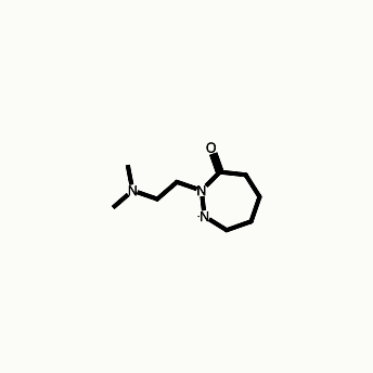 CN(C)CCN1[N]CCCCC1=O